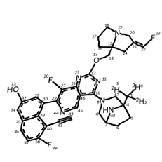 [2H]C([2H])([2H])C12CCC(CN(c3nc(OC[C@@]45CCCN4C/C(=C\F)C5)nc4c(F)c(-c5cc(O)cc6ccc(F)c(C#C)c56)ncc34)C1)N2